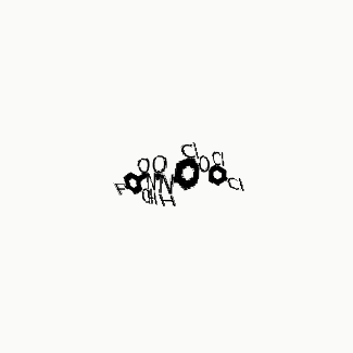 O=C(NC(=O)c1ccc(F)cc1Cl)Nc1ccc(Oc2ccc(Cl)cc2Cl)c(Cl)c1